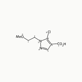 COCCn1ncc(C(=O)O)c1Cl